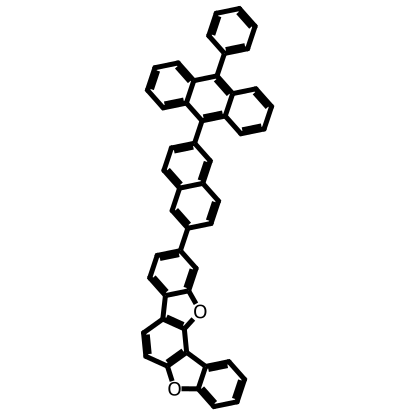 c1ccc(-c2c3ccccc3c(-c3ccc4cc(-c5ccc6c(c5)oc5c6ccc6oc7ccccc7c65)ccc4c3)c3ccccc23)cc1